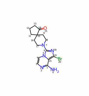 Nc1nccn2c(N3CCC4(CCCC4=O)CC3)nc(Br)c12